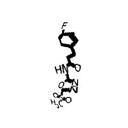 CS(=O)(=O)c1nnc(NC(=O)C=Cc2ccc(F)cc2)o1